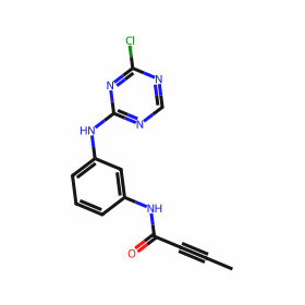 CC#CC(=O)Nc1cccc(Nc2ncnc(Cl)n2)c1